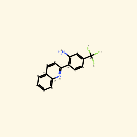 Nc1cc(C(F)(F)F)ccc1-c1ccc2cc[c]cc2n1